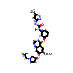 COc1cc2c(Oc3cccc(NC(=O)Nc4cc(C(C)(C)C)on4)c3)ncnc2cc1OC1CCN(CC(F)F)C1